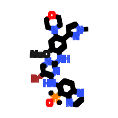 COc1cc(N2CCOCC2)c(-c2ccn(C)n2)cc1Nc1ncc(Br)c(Nc2ccc3nccnc3c2P(C)(C)=O)n1